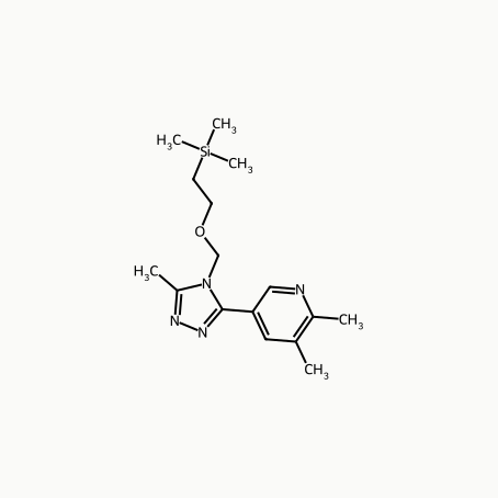 Cc1cc(-c2nnc(C)n2COCC[Si](C)(C)C)cnc1C